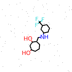 OC1CCCC(CNC2CCCC(C(F)(F)F)C2)C(O)C1